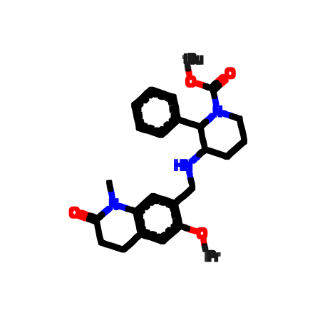 CC(C)Oc1cc2c(cc1CNC1CCCN(C(=O)OC(C)(C)C)C1c1ccccc1)N(C)C(=O)CC2